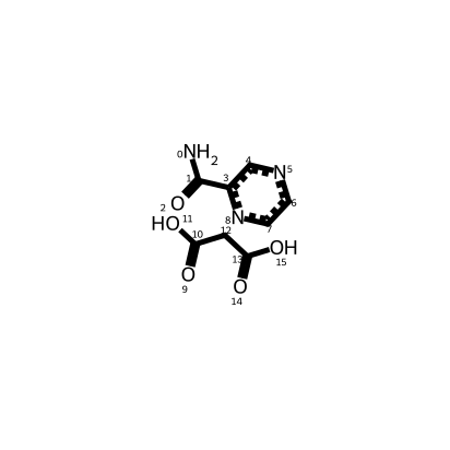 NC(=O)c1cnccn1.O=C(O)CC(=O)O